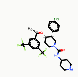 C[C@@H](O[C@H]1CCN(C(=O)NC2CCNCC2)C[C@H]1c1ccccc1)c1cc(C(F)(F)F)cc(C(F)(F)F)c1.Cl